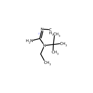 CCN(/C(N)=N\C)C(C)(C)C